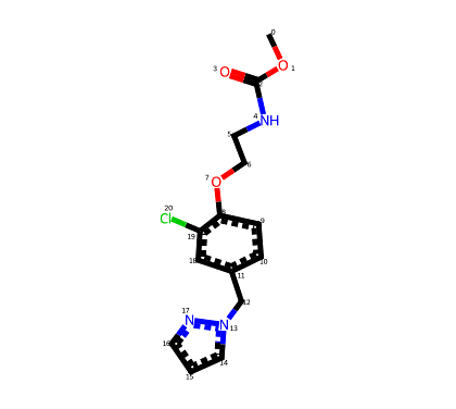 COC(=O)NCCOc1ccc(Cn2cccn2)cc1Cl